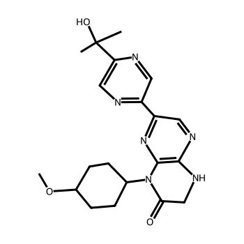 COC1CCC(N2C(=O)CNc3ncc(-c4cnc(C(C)(C)O)cn4)nc32)CC1